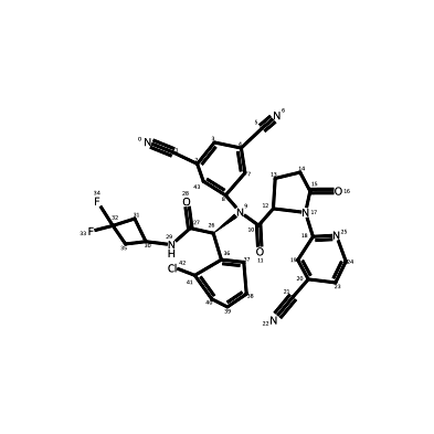 N#Cc1cc(C#N)cc(N(C(=O)C2CCC(=O)N2c2cc(C#N)ccn2)[C@H](C(=O)NC2CC(F)(F)C2)c2ccccc2Cl)c1